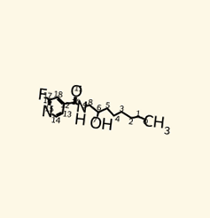 CCCCCCC(O)CNC(=O)c1ccnc(F)c1